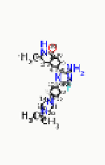 [CH2]C1Cc2cc(-c3nc(-c4ccc(N5CCN(C(C)C)CC5)cc4)c(F)nc3N)ccc2C(=O)N1